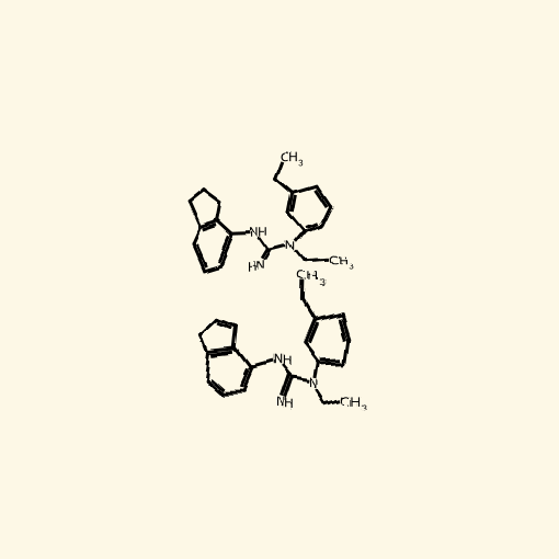 CCc1cccc(N(CC)C(=N)Nc2cccc3c2C=CC3)c1.CCc1cccc(N(CC)C(=N)Nc2cccc3c2CCC3)c1